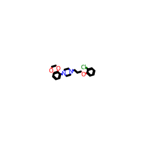 Clc1ccccc1OCCCN1CCN(c2cccc3c2OCCO3)CC1